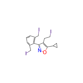 ICCc1c(-c2c(CI)cccc2CI)noc1C1CC1